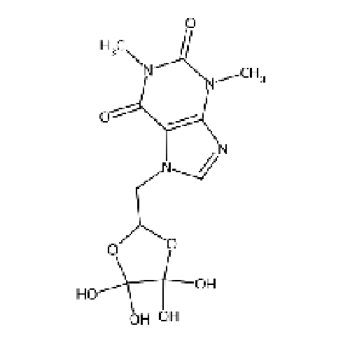 Cn1c(=O)c2c(ncn2CC2OC(O)(O)C(O)(O)O2)n(C)c1=O